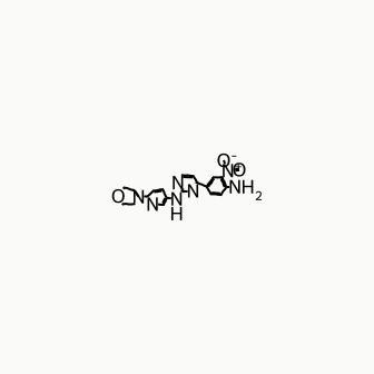 Nc1ccc(-c2ccnc(Nc3ccc(N4CCOCC4)nc3)n2)cc1[N+](=O)[O-]